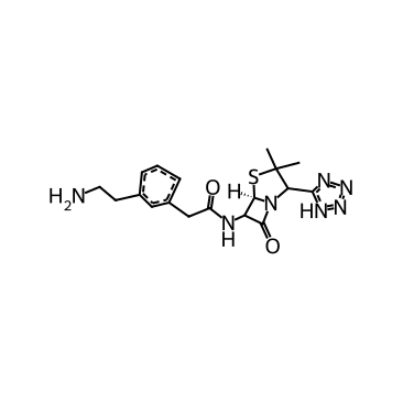 CC1(C)S[C@@H]2C(NC(=O)Cc3cccc(CCN)c3)C(=O)N2C1c1nnn[nH]1